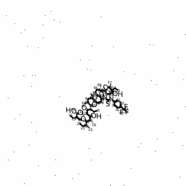 CCC(C(=O)[C@@H](C)[C@@H](O)[C@H](C)[C@@H]1O[C@@H]([C@@H](CC)C(=O)O)CC[C@@H]1C)[C@H]1O[C@]2(C=C[C@@H](NC(=S)Nc3ccc(C(F)(F)F)cc3)[C@]3(CC[C@@](C)([C@H]4CC[C@](O)(CC)[C@H](C)O4)O3)O2)[C@H](C)C[C@@H]1C